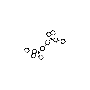 c1ccc(-c2ccc(N(c3ccc(-c4ccc(N(c5ccccc5)c5ccc(-c6ccccc6)c6ccccc56)cc4)cc3)c3cccc4ccccc34)cc2)cc1